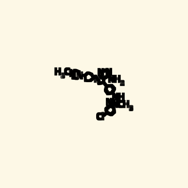 CN1CCN(C2CCC(n3cc(-c4ccc(Nc5nc6cc(Cl)ccc6n5C)cc4)c4c(N)ncnc43)CC2)CC1